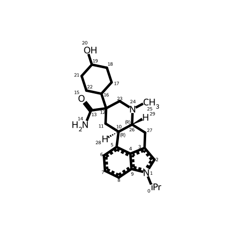 CC(C)n1cc2c3c(cccc31)[C@H]1CC(C(N)=O)(C3CCC(O)CC3)CN(C)[C@@H]1C2